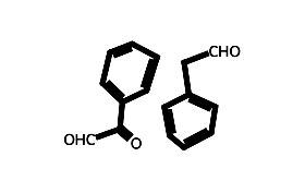 O=CC(=O)c1ccccc1.O=CCc1ccccc1